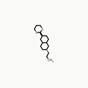 CCC[C@H]1CCC2CC(=C3SCCCS3)CCC2C1